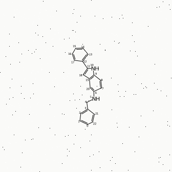 c1ccc(CNc2ccc3[nH]c(-c4ccccc4)cc3c2)cc1